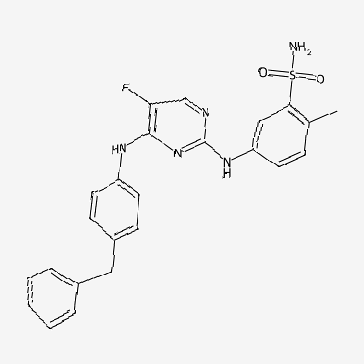 Cc1ccc(Nc2ncc(F)c(Nc3ccc(Cc4ccccc4)cc3)n2)cc1S(N)(=O)=O